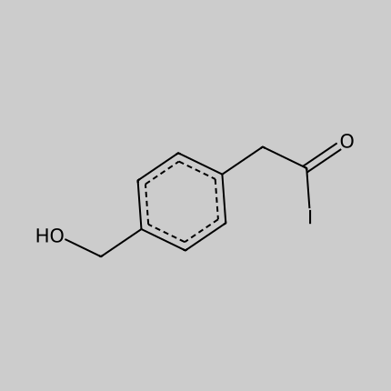 O=C(I)Cc1ccc(CO)cc1